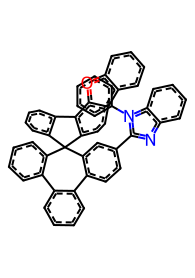 c1ccc(-n2c(-c3ccc4c(c3)C3(c5ccccc5-c5ccccc5-4)c4ccccc4-c4c3ccc3c4oc4ccccc43)nc3ccccc32)cc1